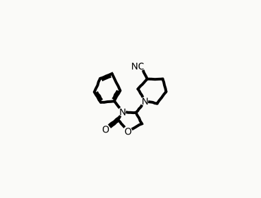 N#CC1CCCN(C2COC(=O)N2c2ccccc2)C1